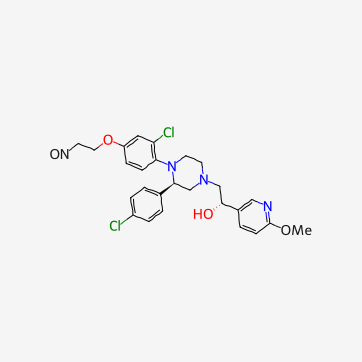 COc1ccc([C@H](O)CN2CCN(c3ccc(OCCN=O)cc3Cl)[C@H](c3ccc(Cl)cc3)C2)cn1